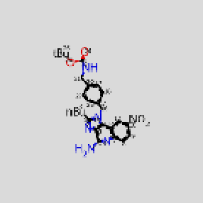 CCCCc1nc2c(N)nc3ccc([N+](=O)[O-])cc3c2n1Cc1ccc(CNC(=O)OC(C)(C)C)cc1